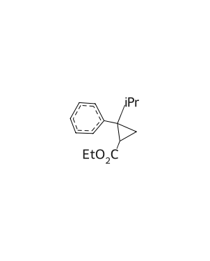 CCOC(=O)C1CC1(c1ccccc1)C(C)C